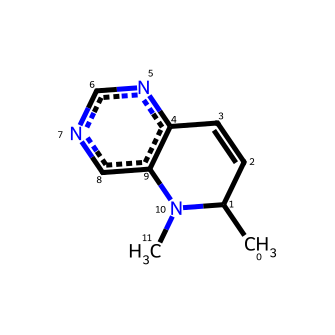 CC1C=Cc2ncncc2N1C